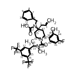 C=CC[C@]1(N(Cc2ccccc2)C(=O)O)CCN(C(=O)N(C)[C@@H](C)c2cc(C(F)(F)F)cc(C(F)(F)F)c2)[C@@H](c2ccc(F)cc2C)C1